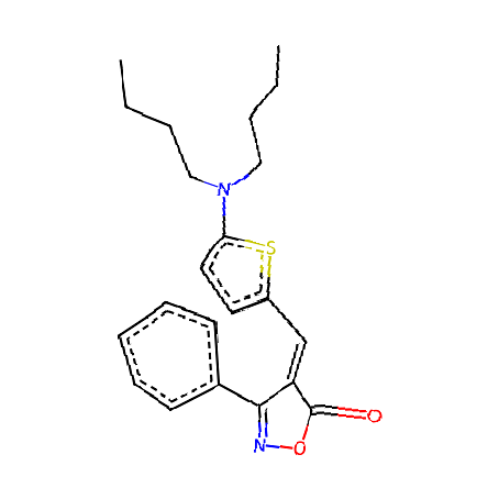 CCCCN(CCCC)c1ccc(/C=C2/C(=O)ON=C2c2ccccc2)s1